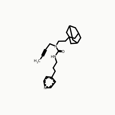 CC#CCN(CCC12CC3CC(CC(C3)C1)C2)C(=O)NCCCc1ccncc1